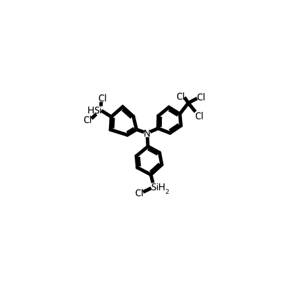 Cl[SiH2]c1ccc(N(c2ccc([SiH](Cl)Cl)cc2)c2ccc(C(Cl)(Cl)Cl)cc2)cc1